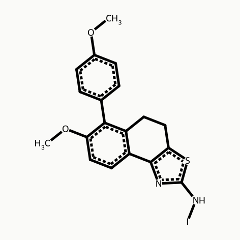 COc1ccc(-c2c(OC)ccc3c2CCc2sc(NI)nc2-3)cc1